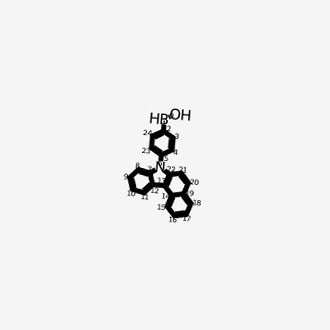 OBc1ccc(-n2c3ccccc3c3c4ccccc4ccc32)cc1